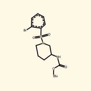 CC(C)(C)OC(=O)NC1CCCN(S(=O)(=O)c2ccccc2Br)C1